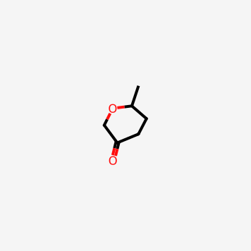 CC1CCC(=O)CO1